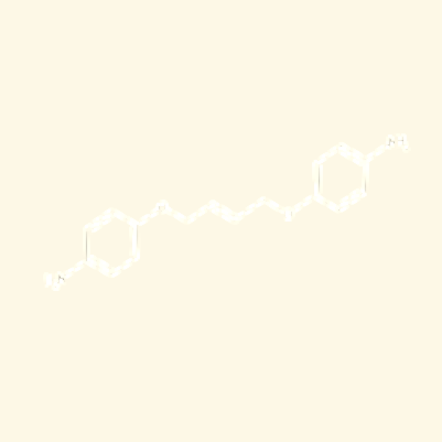 Nc1ccc(OCC=CCOc2ccc(N)cc2)cc1